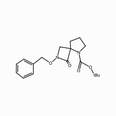 CC(C)(C)OC(=O)N1CCCC12CN(OCc1ccccc1)C2=O